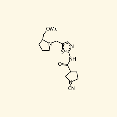 COC[C@@H]1CCCN1Cc1cnc(NC(=O)C2CCN(C#N)C2)s1